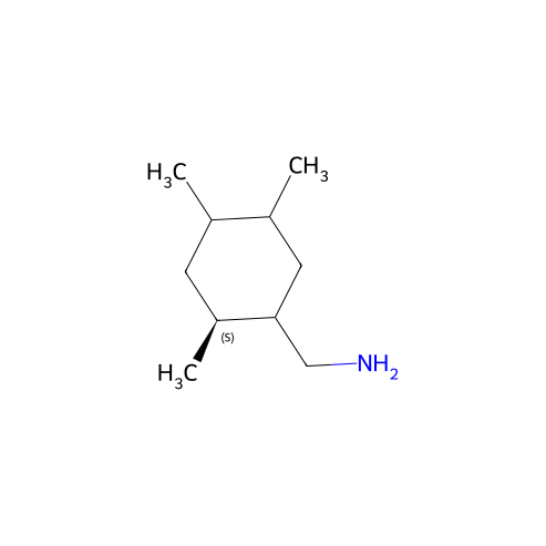 CC1CC(CN)[C@@H](C)CC1C